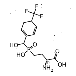 N[C@@H](CCP(=O)(O)C(O)C1=CCC(C(F)(F)F)C=C1)C(=O)O